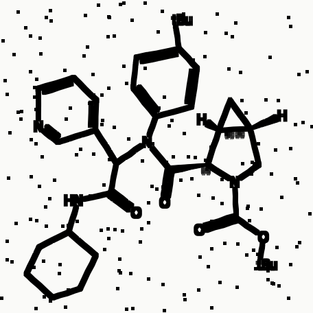 CC(C)(C)OC(=O)N1C[C@H]2C[C@H]2[C@@H]1C(=O)N(c1ccc(C(C)(C)C)cc1)C(C(=O)NC1CCCCC1)c1cccnc1